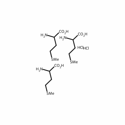 CSCCC(N)C(=O)O.CSCCC(N)C(=O)O.CSCCC(N)C(=O)O.Cl.Cl